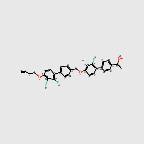 C=CCCOc1ccc(-c2ccc(COc3ccc(-c4ccc(C(C)O)cc4)c(F)c3F)cc2)c(F)c1F